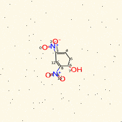 O=[N+]([O-])C1=CCC(O)C([N+](=O)[O-])=C1